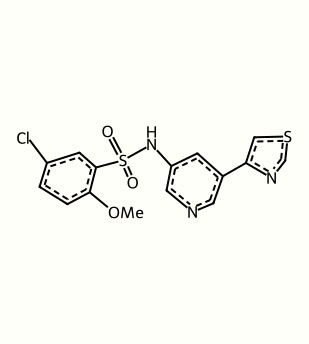 COc1ccc(Cl)cc1S(=O)(=O)Nc1cncc(-c2cscn2)c1